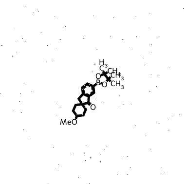 COC1CCC2(CC1)Cc1ccc(B3OC(C)(C)C(C)(C)O3)cc1C2=O